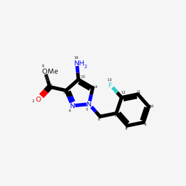 COC(=O)c1nn(Cc2ccccc2F)cc1N